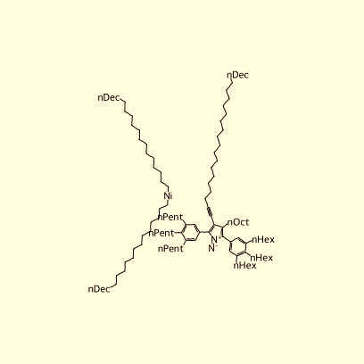 CCCCCCCCCCCCCCCCCCCCCCCCCCC#CC1=C(c2cc(CCCCC)c(CCCCC)c(CCCCC)c2)[N+](=[N-])C(c2cc(CCCCCC)c(CCCCCC)c(CCCCCC)c2)=C1CCCCCCCC.CCCCCCCCCCCCCCCCCCCCCC[CH2][Ni][CH2]CCCCCCCCCCCCCCCCCCCCCC